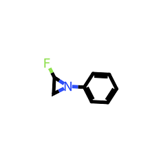 FC1CN1c1ccccc1